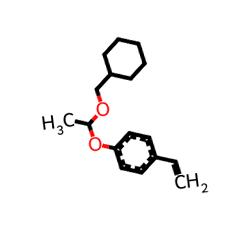 C=Cc1ccc(OC(C)OCC2CCCCC2)cc1